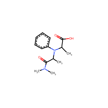 CC(C(=O)O)N(c1ccccc1)C(C)C(=O)N(C)C